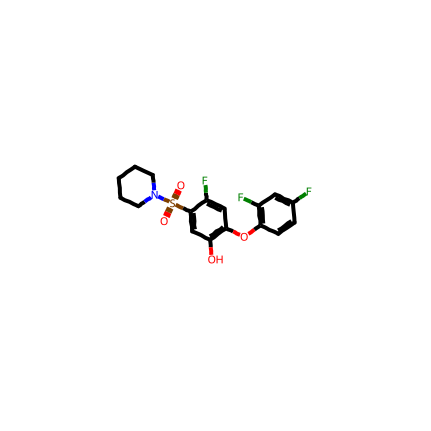 O=S(=O)(c1cc(O)c(Oc2ccc(F)cc2F)cc1F)N1CCCCC1